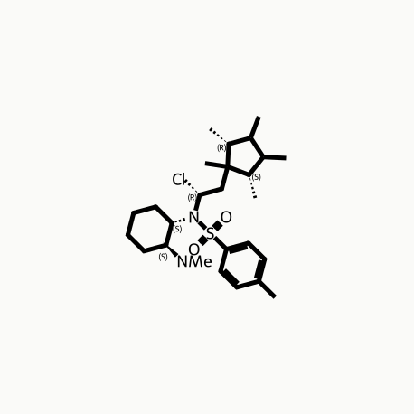 CN[C@H]1CCCC[C@@H]1N([C@H](Cl)CC1(C)[C@H](C)C(C)C(C)[C@@H]1C)S(=O)(=O)c1ccc(C)cc1